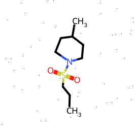 CCCS(=O)(=O)N1CCC(C)CC1